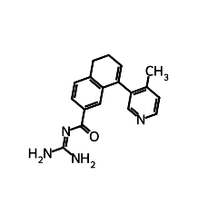 Cc1ccncc1C1=CCCc2ccc(C(=O)N=C(N)N)cc21